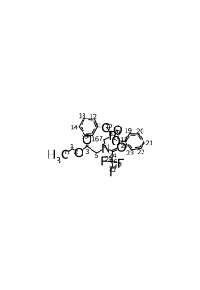 CCOC(=O)CN(CP(=O)(Oc1ccccc1)Oc1ccccc1)C(=O)C(F)(F)F